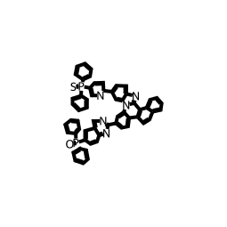 O=P(c1ccccc1)(c1ccccc1)c1ccc2nc(-c3ccc4c5ccc6ccccc6c5c5nc6ccc(-c7ccc(P(=S)(c8ccccc8)c8ccccc8)cn7)cc6n5c4c3)ncc2c1